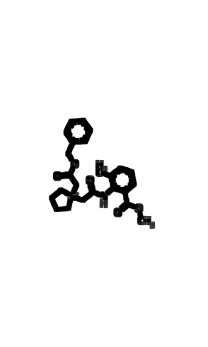 COC(=O)c1cccc(C)c1NC(=O)C[N+]1(CC(=O)OCc2ccccc2)CCCC1